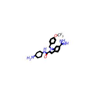 N=C(N)c1ccc2cc(C(=O)NC3CCC(N)CC3)n(Cc3ccc(OC(F)(F)F)cc3)c2c1